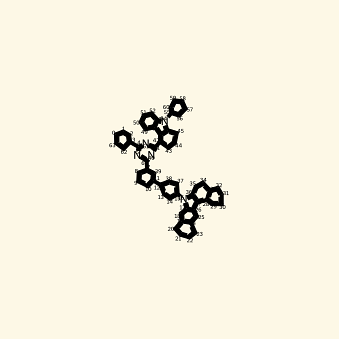 c1ccc(-c2nc(-c3cccc(-c4ccc(-n5c6cc7ccccc7cc6c6c7ccccc7ccc65)cc4)c3)nc(-c3cccc4c3c3ccccc3n4-c3ccccc3)n2)cc1